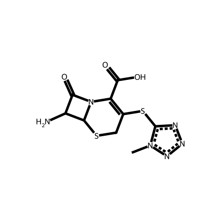 Cn1nnnc1SC1=C(C(=O)O)N2C(=O)C(N)C2SC1